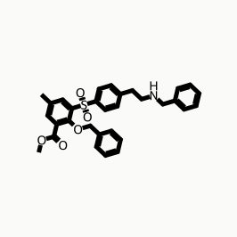 COC(=O)c1cc(C)cc(S(=O)(=O)c2ccc(CCNCc3ccccc3)cc2)c1OCc1ccccc1